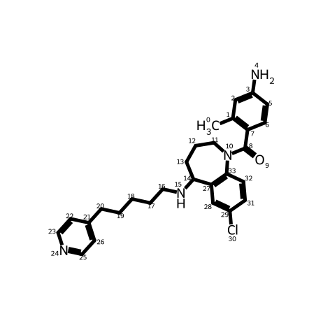 Cc1cc(N)ccc1C(=O)N1CCCC(NCCCCCc2ccncc2)c2cc(Cl)ccc21